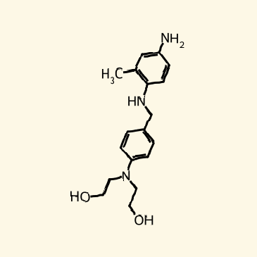 Cc1cc(N)ccc1NCc1ccc(N(CCO)CCO)cc1